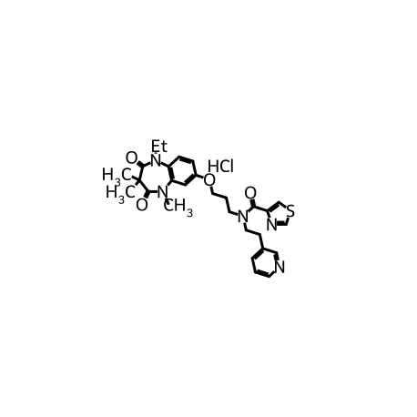 CCN1C(=O)C(C)(C)C(=O)N(C)c2cc(OCCCN(CCc3cccnc3)C(=O)c3cscn3)ccc21.Cl